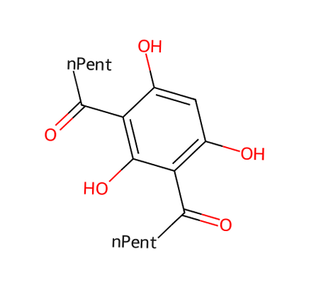 CCCCCC(=O)c1c(O)cc(O)c(C(=O)CCCCC)c1O